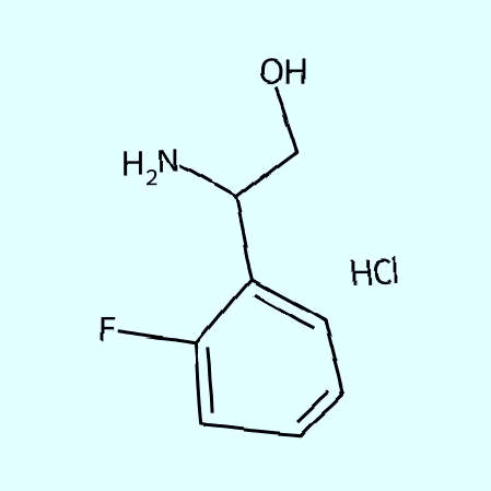 Cl.NC(CO)c1ccccc1F